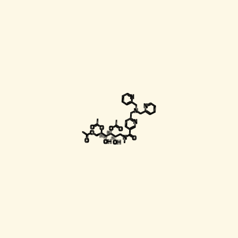 CC(=O)OC[C@@H](OC(C)=O)[C@@H](O)[C@H](OC(C)=O)[C@@H](O)CN(C)C(=O)c1ccc(CN(Cc2ccccn2)Cc2ccccn2)nc1